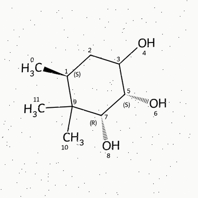 C[C@H]1CC(O)[C@H](O)[C@H](O)C1(C)C